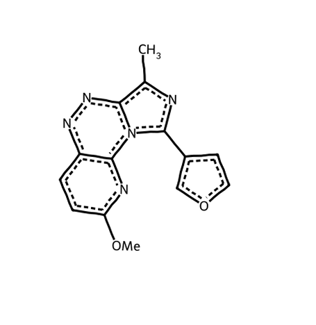 COc1ccc2nnc3c(C)nc(-c4ccoc4)n3c2n1